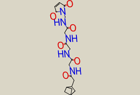 O=C(CNC(=O)CNC(=O)CC1CC2CC1C2)NCC(=O)NCN1C(=O)C=CC1=O